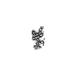 Cc1cc(C)cc(N(c2ccc3c(c2)C(C)(C)C2=C3C=CCC2)c2ccc3c(c2)c2ccccc2c2c(C4=CC=CCC4)cc(-c4ccccc4)c(-c4ccccc4)c32)c1